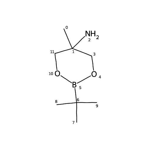 CC1(N)COB(C(C)(C)C)OC1